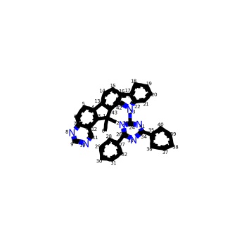 CC1(C)c2c(ccc3ncncc23)-c2ccc3c4ccccc4n(-c4nc(-c5ccccc5)nc(-c5ccccc5)n4)c3c21